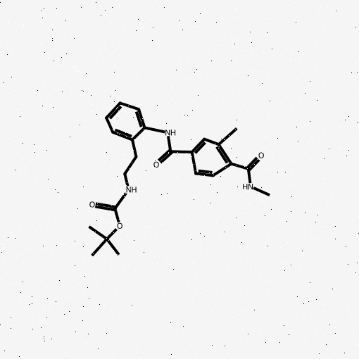 CNC(=O)c1ccc(C(=O)Nc2ccccc2CCNC(=O)OC(C)(C)C)cc1C